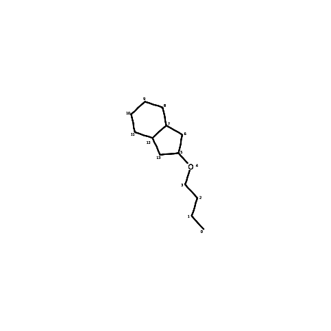 CCCCOC1CC2CCCCC2C1